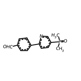 CP(C)(=O)c1ccc(-c2ccc(C=O)cc2)nc1